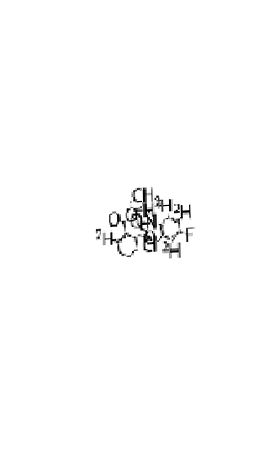 [2H]C1=C(C(=O)OCC)[C@H](S(=O)(=O)N([2H])c2c([2H])c([2H])c(F)c([2H])c2Cl)CCC1